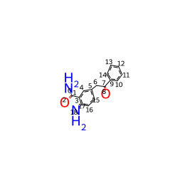 NC(=O)c1cc(CC(=O)c2ccccc2)ccc1N